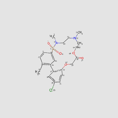 Cc1ccc(S(=O)(=O)N(C)CCN(C)C)cc1-c1cc(Cl)ccc1OCC(=O)OC(C)(C)C